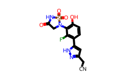 N#CCc1cc(-c2ccc(O)c(N3CC(=O)NS3(=O)=O)c2F)[nH]n1